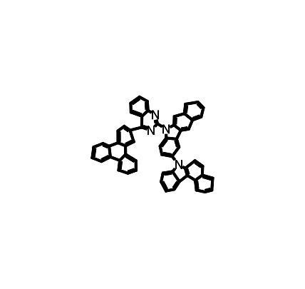 c1ccc2cc3c(cc2c1)c1cc(-n2c4ccccc4c4c5ccccc5ccc42)ccc1n3-c1nc(-c2ccc3c4ccccc4c4ccccc4c3c2)c2ccccc2n1